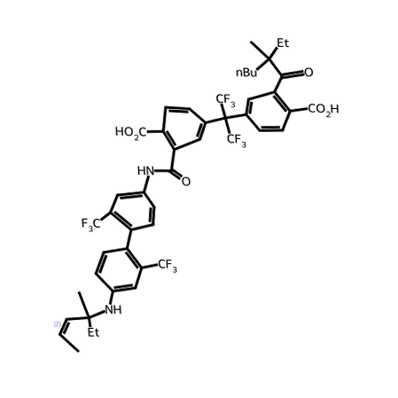 C/C=C\C(C)(CC)Nc1ccc(-c2ccc(NC(=O)c3cc(C(c4ccc(C(=O)O)c(C(=O)C(C)(CC)CCCC)c4)(C(F)(F)F)C(F)(F)F)ccc3C(=O)O)cc2C(F)(F)F)c(C(F)(F)F)c1